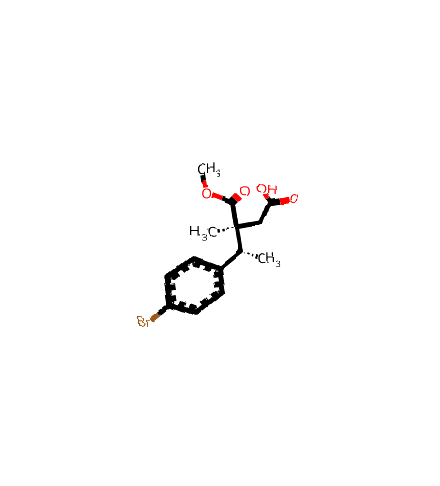 COC(=O)[C@@](C)(CC(=O)O)[C@H](C)c1ccc(Br)cc1